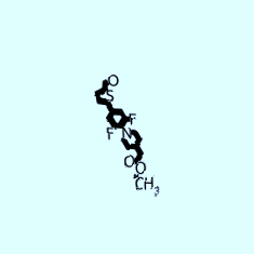 CCOC(=O)CC1CCN(c2c(F)cc(-c3ccc(C=O)s3)cc2F)CC1